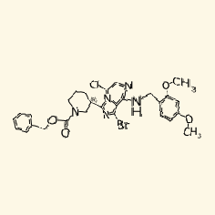 COc1ccc(CNc2ncc(Cl)n3c([C@@H]4CCCN(C(=O)OCc5ccccc5)C4)nc(Br)c23)c(OC)c1